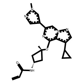 C=CC(=O)N[C@H]1C[C@@](C)(Oc2nc(-c3cnn(C)c3)cn3ncc(C4CC4)c23)C1